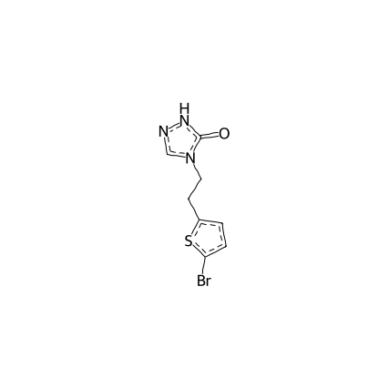 O=c1[nH]ncn1CCc1ccc(Br)s1